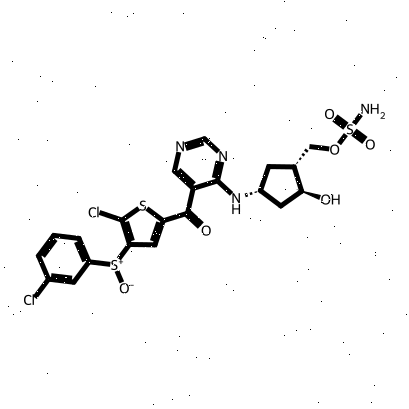 NS(=O)(=O)OC[C@H]1C[C@@H](Nc2ncncc2C(=O)c2cc([S+]([O-])c3cccc(Cl)c3)c(Cl)s2)C[C@@H]1O